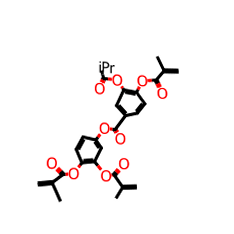 C=C(C)C(=O)Oc1ccc(OC(=O)c2ccc(OC(=O)C(=C)C)c(OC(=O)C(C)C)c2)cc1OC(=O)C(=C)C